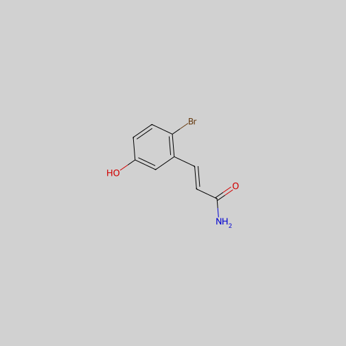 NC(=O)/C=C/c1cc(O)ccc1Br